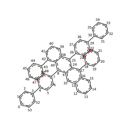 c1ccc(-c2ccc(-c3c4cc5ccccc5c(-c5ccccc5)c4c(-c4ccc(-c5ccccc5)cc4)c4cccc(-c5ccccc5)c34)cc2)cc1